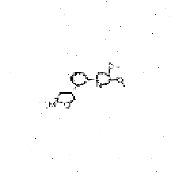 COc1cnc(-c2cccc([C@@H]3COB(O)C3)c2)cc1OC